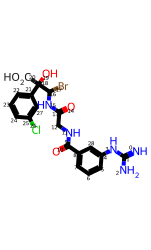 N=C(N)Nc1cccc(C(=O)NCC(=O)NC(Br)C(O)(C(=O)O)c2cccc(Cl)c2)c1